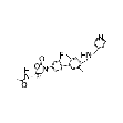 CC(=O)NC[C@H]1CN(c2ccc(-c3cc(C)c(CNCc4ccncc4)cc3C)c(F)c2)C(=O)O1